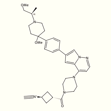 C#[N+][C@H]1C[C@H](C(=O)N2CCN(c3ccnn4cc(-c5ccc(C6(OC)CCN([C@H](C)COC)CC6)cc5)cc34)CC2)C1